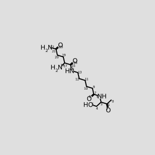 CC(=O)C(CO)NC(=O)CCCCCNC(=O)C(N)CCC(N)=O